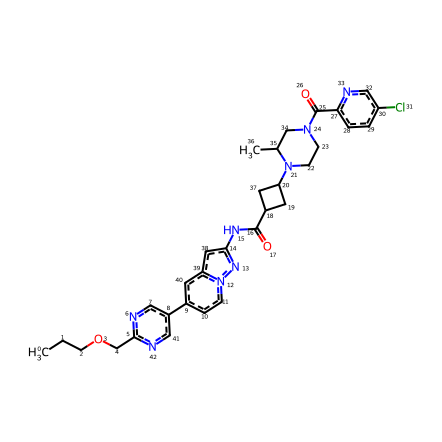 CCCOCc1ncc(-c2ccn3nc(NC(=O)C4CC(N5CCN(C(=O)c6ccc(Cl)cn6)CC5C)C4)cc3c2)cn1